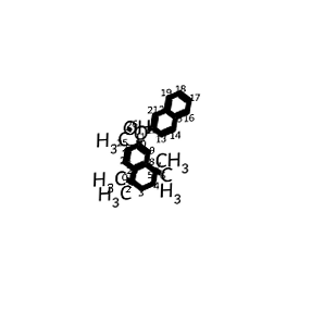 CC1(C)CCC(C)(C)c2cc(Oc3ccc4ccccc4c3)ccc21.CO